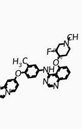 Cc1cc(Nc2ncnc3cccc(O[C@@H]4CCN(C)C[C@@H]4F)c23)ccc1Oc1ccn2ccnc2c1